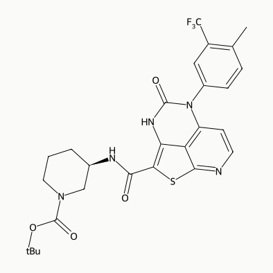 Cc1ccc(N2C(=O)Nc3c(C(=O)N[C@@H]4CCCN(C(=O)OC(C)(C)C)C4)sc4nccc2c34)cc1C(F)(F)F